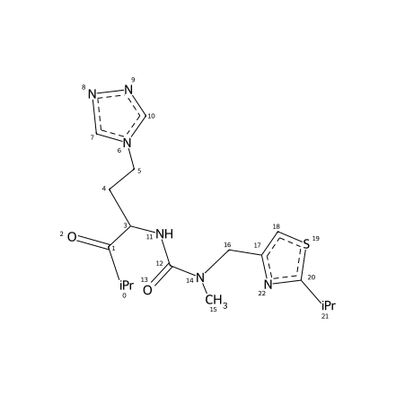 CC(C)C(=O)C(CCn1cnnc1)NC(=O)N(C)Cc1csc(C(C)C)n1